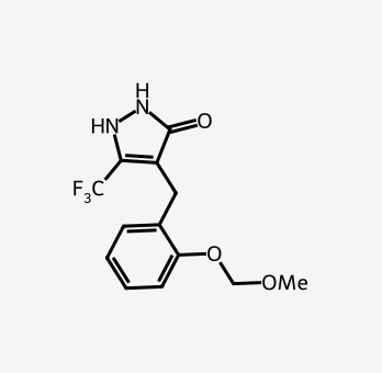 COCOc1ccccc1Cc1c(C(F)(F)F)[nH][nH]c1=O